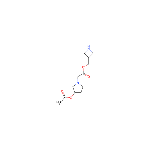 CC(=O)OC1CCN(CC(=O)OCC2CNC2)C1